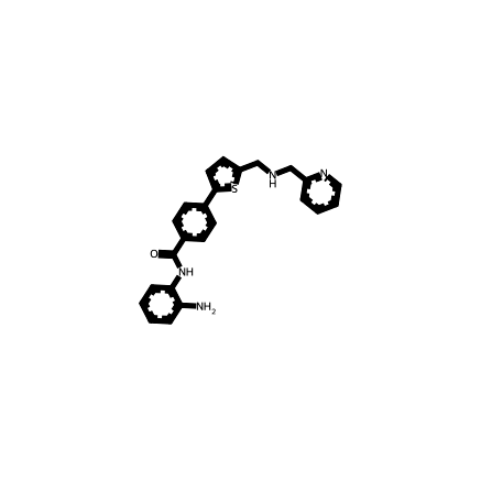 Nc1ccccc1NC(=O)c1ccc(-c2ccc(CNCc3ccccn3)s2)cc1